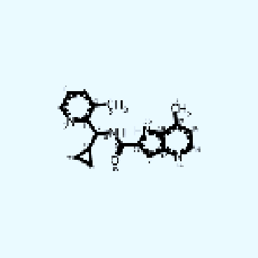 Cc1cccnc1C(NC(=O)c1cc2nccc(C)c2[nH]1)C1CC1